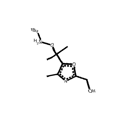 Cc1nc(CO)oc1C(C)(C)O[SiH2]C(C)(C)C